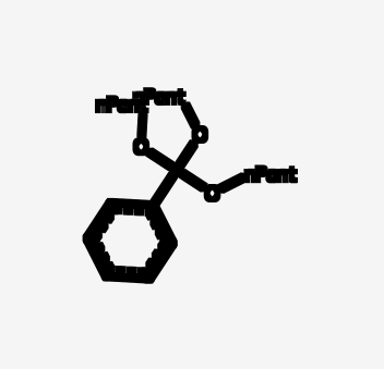 CCCCCOC(OCCCCC)(OCCCCC)c1ccccc1